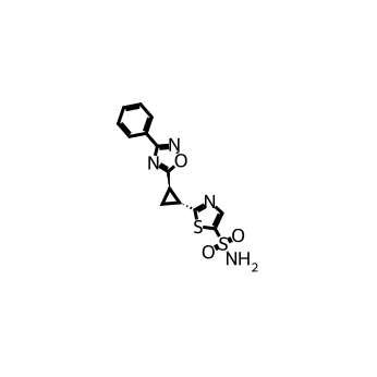 NS(=O)(=O)c1cnc([C@@H]2C[C@H]2c2nc(-c3ccccc3)no2)s1